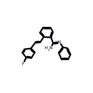 N/C(=N\c1ccccc1)c1ccccc1/C=C/c1ccc(F)cc1